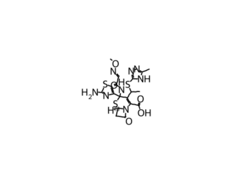 CON=CC(=O)NC1(c2csc(N)n2)S[C@H]2CC(=O)N2C(C(=O)O)=C1C(C)Sc1nnc(C)[nH]1